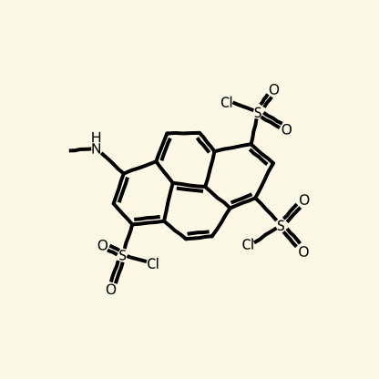 CNc1cc(S(=O)(=O)Cl)c2ccc3c(S(=O)(=O)Cl)cc(S(=O)(=O)Cl)c4ccc1c2c43